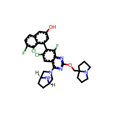 Oc1cc(-c2c(Cl)cc3c(N4C[C@H]5CC[C@@H](C4)N5)nc(OCC45CCCN4CCC5)nc3c2F)c2c(Cl)c(F)ccc2c1